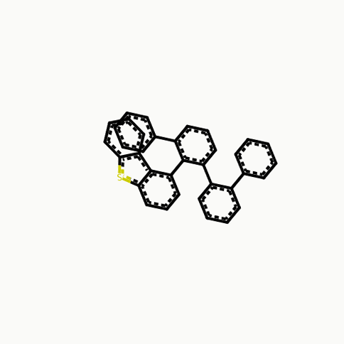 c1ccc(-c2ccccc2-c2cccc(-c3ccccc3)c2-c2cccc3sc4ccccc4c23)cc1